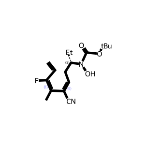 C=C/C(F)=C(C)\C(C#N)=C/C[C@H](CC)N(O)C(=O)OC(C)(C)C